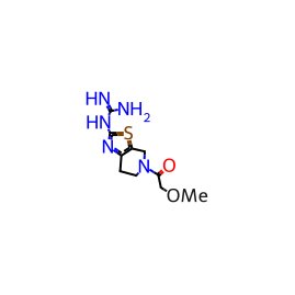 COCC(=O)N1CCc2nc(NC(=N)N)sc2C1